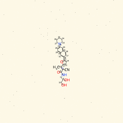 C/C(=C(/C#N)C(=O)NCC(O)CO)c1ccc(-c2ccc3cc(N4CCCCC4)ccc3c2)o1